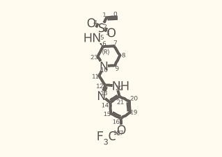 C=CS(=O)(=O)N[C@@H]1CCCN(Cc2nc3cc(OC(F)(F)F)ccc3[nH]2)C1